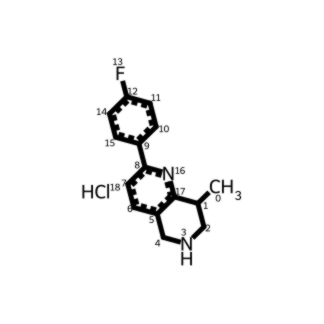 CC1CNCc2ccc(-c3ccc(F)cc3)nc21.Cl